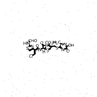 Cn1nc(O)c(=O)nc1SCC1=C(C(=O)O)N2C(=O)C(NC(=O)C(=CCl)c3csc(NC=O)n3)[C@@H]2SC1